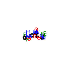 COc1ncc(C(C)(O)COc2ccnc(C(F)(F)F)n2)c(C2CCN(C(=O)Nc3c(F)cccc3F)CC2)n1